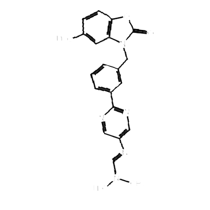 Cc1ccc2oc(=O)n(Cc3cccc(-c4ncc(/N=C/N(C)C)cn4)c3)c2c1